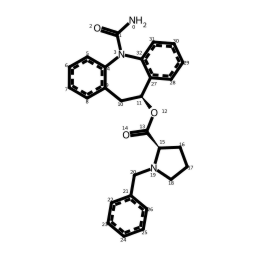 NC(=O)N1c2ccccc2C[C@H](OC(=O)[C@H]2CCCN2Cc2ccccc2)c2ccccc21